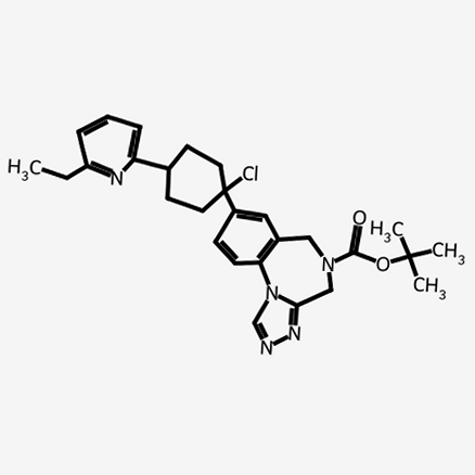 CCc1cccc(C2CCC(Cl)(c3ccc4c(c3)CN(C(=O)OC(C)(C)C)Cc3nncn3-4)CC2)n1